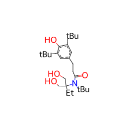 CCC(CO)(CO)N(C(=O)CCc1cc(C(C)(C)C)c(O)c(C(C)(C)C)c1)C(C)(C)C